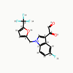 O=CC(=O)c1cn(Cc2ccc(C(F)(F)F)o2)c2ccc(F)cc12